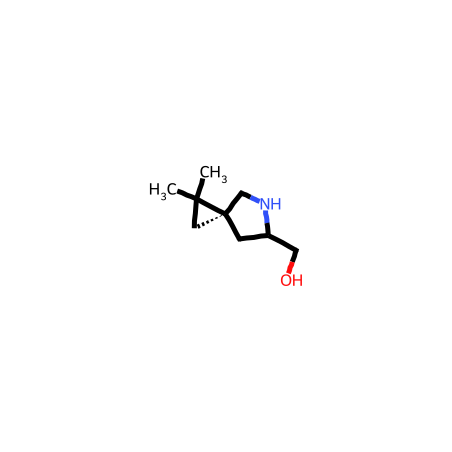 CC1(C)C[C@@]12CNC(CO)C2